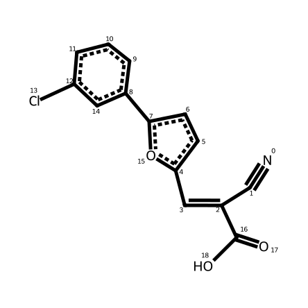 N#C/C(=C\c1ccc(-c2cccc(Cl)c2)o1)C(=O)O